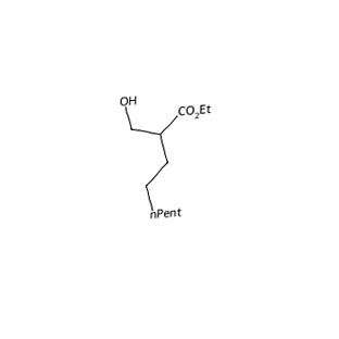 CCCCCCCC(CO)C(=O)OCC